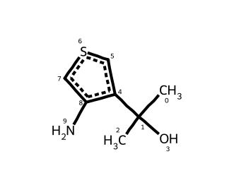 CC(C)(O)c1cscc1N